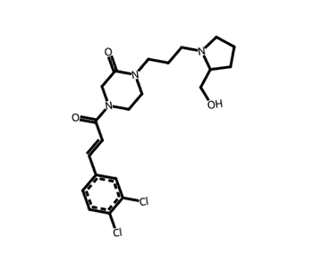 O=C(C=Cc1ccc(Cl)c(Cl)c1)N1CCN(CCCN2CCCC2CO)C(=O)C1